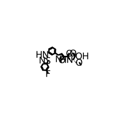 COC[C@H](NC(=O)c1cc(-c2cccc(Nc3nc4ccc(F)cc4s3)c2)no1)C(=O)O